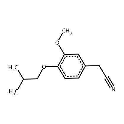 COc1cc(CC#N)ccc1OCC(C)C